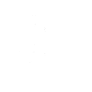 CCCCCC1(c2ccc(O)cc2)CC1